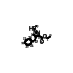 CCOC(=O)c1nn(PC)cc1Cc1ccccc1